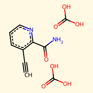 C#Cc1cccnc1C(N)=O.O=C(O)O.O=C(O)O